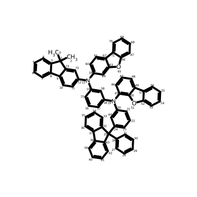 CC1(C)c2ccccc2-c2ccc(N(c3cccc(N(c4cccc(C5(c6ccccc6)c6ccccc6-c6ccccc65)c4)c4cccc5c4oc4ccccc45)c3)c3ccc4c(c3)oc3ccccc34)cc21